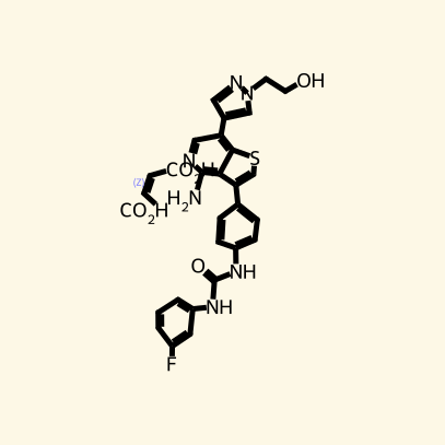 Nc1ncc(-c2cnn(CCO)c2)c2scc(-c3ccc(NC(=O)Nc4cccc(F)c4)cc3)c12.O=C(O)/C=C\C(=O)O